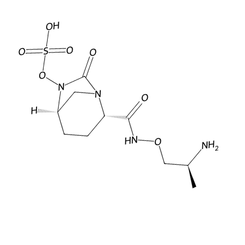 C[C@H](N)CONC(=O)[C@@H]1CC[C@@H]2CN1C(=O)N2OS(=O)(=O)O